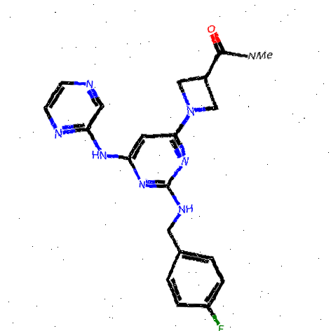 CNC(=O)C1CN(c2cc(Nc3cnccn3)nc(NCc3ccc(F)cc3)n2)C1